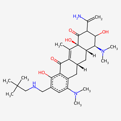 C=C(N)C1C(=O)[C@@]2(O)C(C)=C3C(=O)c4c(O)c(CNCC(C)(C)C)cc(N(C)C)c4C[C@H]3C[C@H]2[C@H](N(C)C)C1O